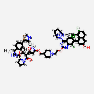 C#Cc1c(F)ccc2cc(O)cc(-c3c(Cl)cc4c(N5CC6CCC(C5)N6)nc(OCCN5CCC(COc6cc(C(C(=O)N7CCC[C@H]7C(=O)N[C@@H](C)c7ccc(-c8scnc8C)cc7)C(C)C)on6)CC5)nc4c3F)c12